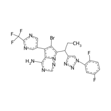 CCC(c1cn(-c2cc(F)ccc2F)nn1)c1c(Br)c(-c2cnc(C(F)(F)F)nc2)c2c(N)ncnn12